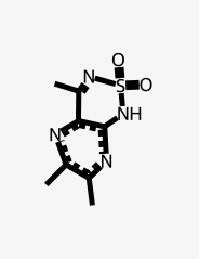 CC1=NS(=O)(=O)Nc2nc(C)c(C)nc21